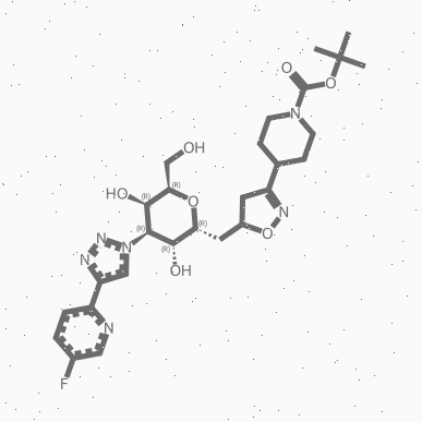 CC(C)(C)OC(=O)N1CCC(C2=NOC(C[C@H]3O[C@H](CO)[C@H](O)[C@H](n4cc(-c5ccc(F)cn5)nn4)[C@H]3O)C2)CC1